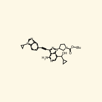 CC(C)(C)OC(=O)N1CC[C@H](n2nc(C#Cc3ccc4c(c3)ncn4C3CC3)c3c(N)ncc(C(O)C4CC4)c32)C1